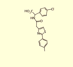 Cc1ccc(-c2nc(CC(=O)NC(C(=O)O)c3ccc(Cl)cc3)cs2)cc1